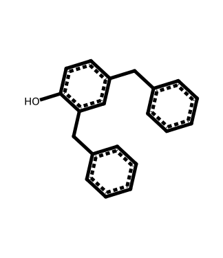 Oc1ccc(Cc2ccccc2)cc1Cc1ccccc1